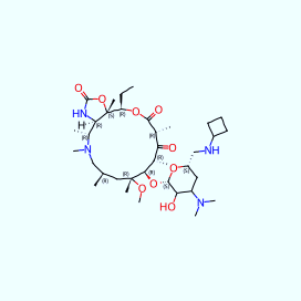 CC[C@H]1OC(=O)[C@H](C)C(=O)[C@H](C)[C@@H](O[C@@H]2O[C@H](CNC3CCC3)CC(N(C)C)C2O)[C@](C)(OC)C[C@@H](C)CN(C)[C@H](C)[C@H]2NC(=O)O[C@@]21C